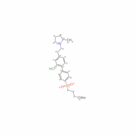 COCCCS(=O)(=O)c1ccc(-c2ccc(CCN3CCCC3C)cc2)cc1.Cl